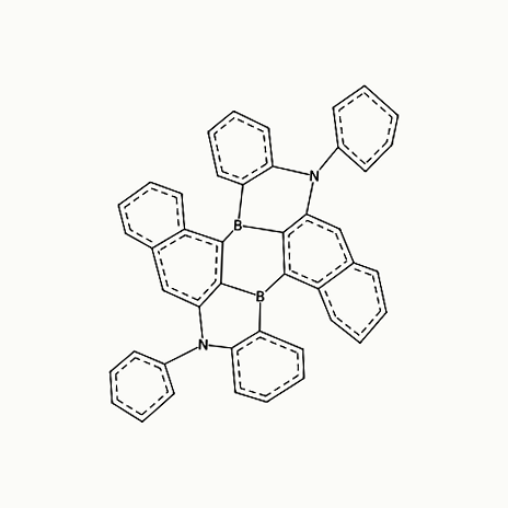 c1ccc(N2c3ccccc3B3c4c2cc2ccccc2c4B2c4ccccc4N(c4ccccc4)c4cc5ccccc5c3c42)cc1